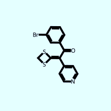 O=C(C(=C1SCS1)c1ccncc1)c1cccc(Br)c1